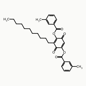 CCCCCCCCCCCC1=C(OC(=O)c2cccc(C)c2)C(=O)C=C(OC(=O)c2cccc(C)c2)C1=O